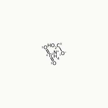 O=C([O-])O.[NH4+].[O]=[Ti]=[O]